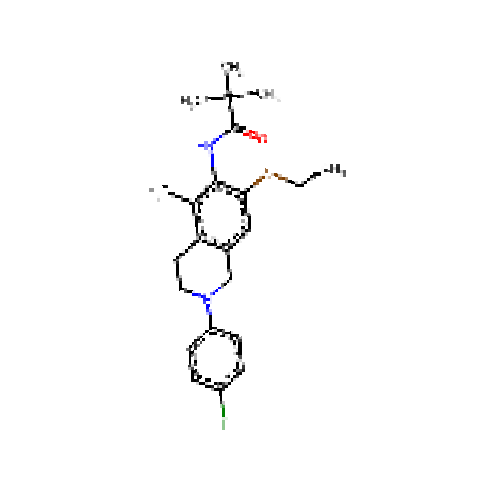 CCSc1cc2c(c(C)c1NC(=O)C(C)(C)C)CCN(c1ccc(F)cc1)C2